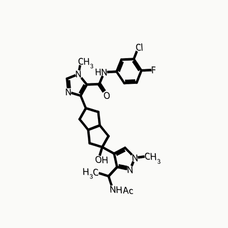 CC(=O)NC(C)c1nn(C)cc1C1(O)CC2CC(c3ncn(C)c3C(=O)Nc3ccc(F)c(Cl)c3)CC2C1